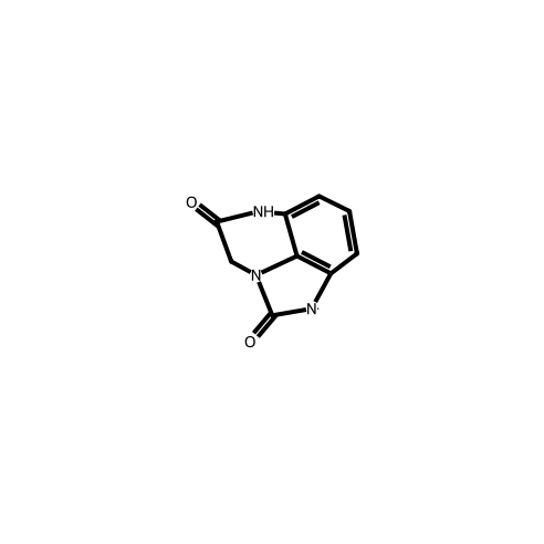 O=C1CN2C(=O)[N]c3cccc(c32)N1